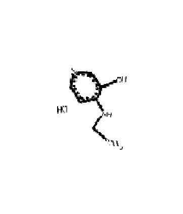 CCNc1ccncc1O.Cl